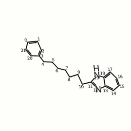 c1ccc(CCCCCCCc2nc3ccccc3[nH]2)cc1